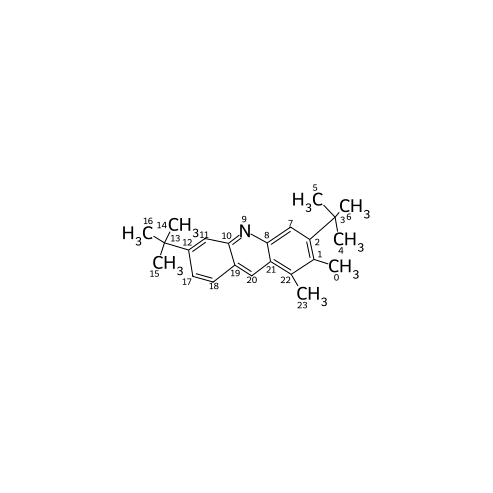 Cc1c(C(C)(C)C)cc2nc3cc(C(C)(C)C)ccc3cc2c1C